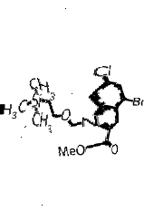 COC(=O)c1cc2c(Br)cc(Cl)cc2n1COCC[Si](C)(C)C